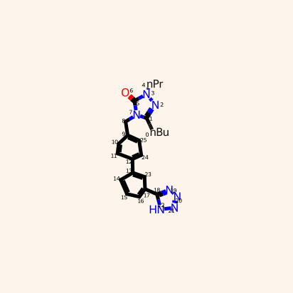 CCCCc1nn(CCC)c(=O)n1Cc1ccc(-c2cccc(-c3nnn[nH]3)c2)cc1